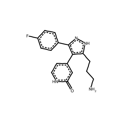 NCCCc1[nH]nc(-c2ccc(F)cc2)c1-c1cc[nH]c(=O)c1